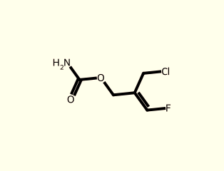 NC(=O)OCC(=CF)CCl